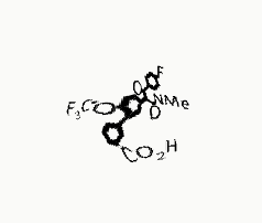 CNC(=O)c1c(-c2ccc(F)cc2)oc2cc(OCC(F)(F)F)c(-c3cccc(C(=O)O)c3)cc12